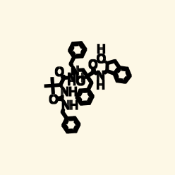 CC(C)(C)[C@H](NC(=O)NCc1ccccc1)C(=O)NN(Cc1ccccc1)C[C@@](O)(Cc1ccccc1)C(=O)NC1c2ccccc2C[C@H]1O